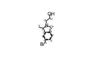 CC1c2cc(Br)ccc2SN1CCO